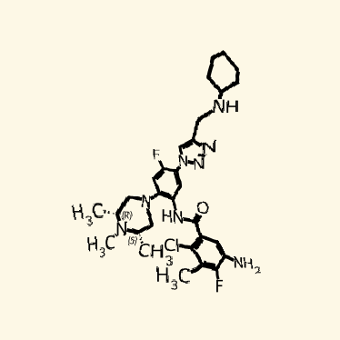 Cc1c(F)c(N)cc(C(=O)Nc2cc(-n3cc(CNC4CCCCC4)nn3)c(F)cc2N2C[C@@H](C)N(C)[C@@H](C)C2)c1Cl